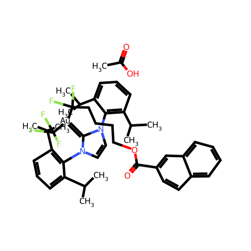 CC(=O)O.CC(C)c1cccc(C(C)C)c1-n1ccn(-c2c(C(C)C)cccc2C(C)C)[c]1=[Au]([C](F)(F)F)[C](F)(F)CCCCOC(=O)c1ccc2ccccc2c1